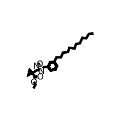 CCCCCCCCCCCCc1cccc(-c2nc(C3(C(=O)OCC)CC3)no2)c1